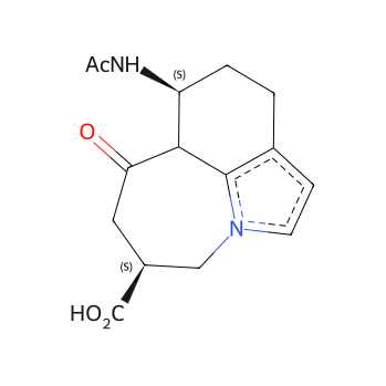 CC(=O)N[C@H]1CCc2ccn3c2C1C(=O)C[C@H](C(=O)O)C3